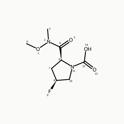 CON(C)C(=O)[C@@H]1C[C@H](F)CN1C(=O)O